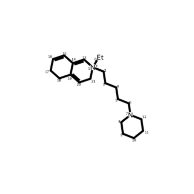 CC[N+]1(CCCCCN2CCCCC2)C=C2C=CCCC2=CC1